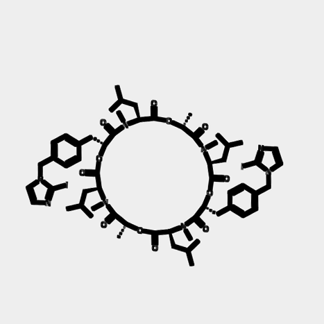 CC(C)C[C@H]1C(=O)O[C@H](Cc2ccc(Cn3ccnc3I)cc2)C(=O)N(C)[C@@H](CC(C)C)C(=O)O[C@H](C)C(=O)N(C)[C@@H](CC(C)C)C(=O)O[C@H](Cc2ccc(Cn3ccnc3I)cc2)C(=O)N(C)[C@@H](CC(C)C)C(=O)O[C@H](C)C(=O)N1C